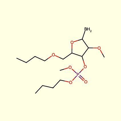 BC1OC(COCCCC)C(OP(=O)(OC)OCCCC)C1OC